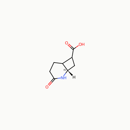 O=C1CCC2C(C(=O)O)C[C@@H]2N1